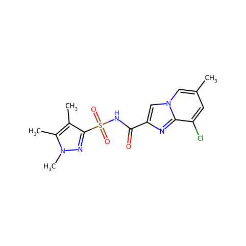 Cc1cc(Cl)c2nc(C(=O)NS(=O)(=O)c3nn(C)c(C)c3C)cn2c1